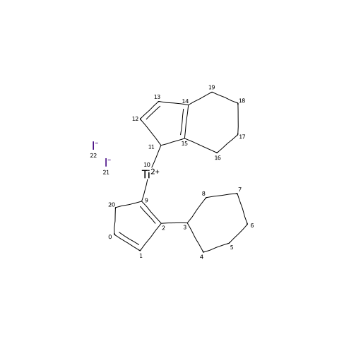 C1=CC(C2CCCCC2)=[C]([Ti+2][CH]2C=CC3=C2CCCC3)C1.[I-].[I-]